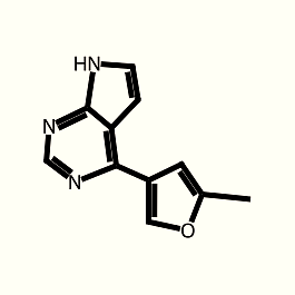 Cc1cc(-c2ncnc3[nH]ccc23)co1